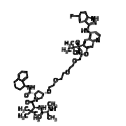 CN[C@@H](C)C(=O)N[C@H](C(=O)N1C[C@@H](OCCOCCOCCOCCOc2cc3nccc(Nc4n[nH]c5ccc(F)cc45)c3cc2S(=O)(=O)C(C)(C)C)C[C@H]1C(=O)N[C@H]1CCCc2ccccc21)C(C)(C)C